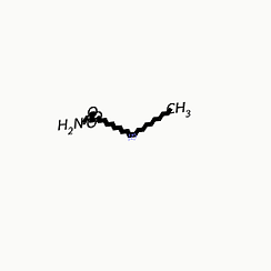 CCCCCCCCC/C=C\CCCCCCCCOS(=O)(=O)CCN